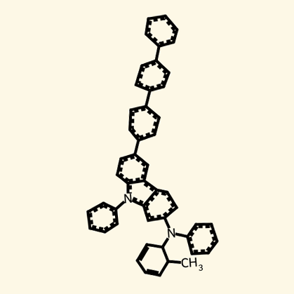 CC1C=CC=CC1N(c1ccccc1)c1ccc2c3cc(-c4ccc(-c5ccc(-c6ccccc6)cc5)cc4)ccc3n(-c3ccccc3)c2c1